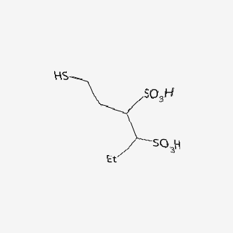 [CH2]CC(C(CCS)S(=O)(=O)O)S(=O)(=O)O